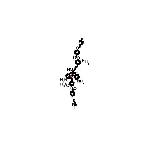 COc1cc(/C=C/C(=O)C(O)C(Cc2ccc(N)cc2)(Cc2ccc(N)cc2)C(O)C(=O)/C=C/c2ccc(OC(=O)c3ccc(OCCCC(F)(F)F)cc3)c(OC)c2)ccc1OC(=O)c1ccc(OCCCC(F)(F)F)cc1